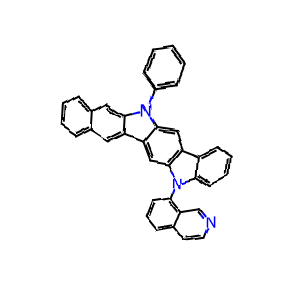 c1ccc(-n2c3cc4ccccc4cc3c3cc4c(cc32)c2ccccc2n4-c2cccc3ccncc23)cc1